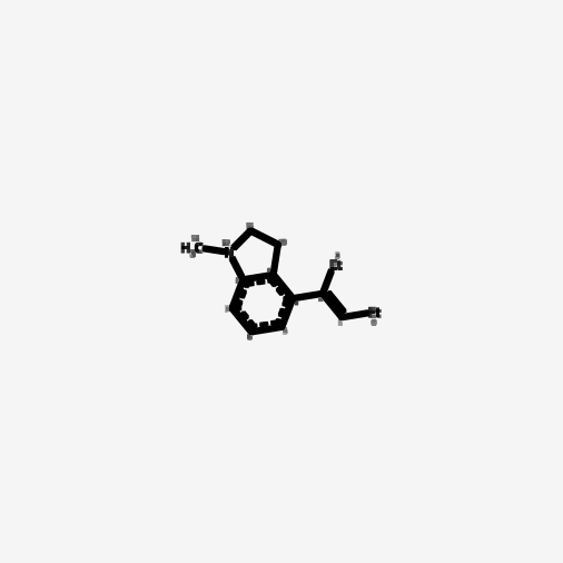 CC/C=C(\CC)c1cccc2c1CCN2C